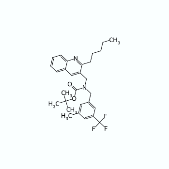 CCCCCc1nc2ccccc2cc1CN(Cc1cc(C)cc(C(F)(F)F)c1)C(=O)OC(C)(C)C